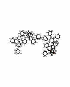 CC1(C)c2ccccc2-c2ccc(-c3c(-c4nc(-c5ccccc5)nc(-c5cccc(-c6cccc7c6c6ccccc6n7-c6ccc(-c7nc(-c8ccccc8)nc(-c8ccccc8)n7)c(C7CCCC7)c6-n6c7ccccc7c7ccccc76)c5)n4)ccc(-n4c5ccccc5c5ccccc54)c3-n3c4ccccc4c4ccccc43)cc21